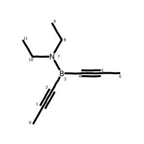 CC#CB(C#CC)N(CC)CC